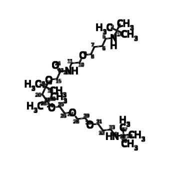 CC(C)(C)NCCCCOCCNC(=O)COC(C)(C)CC(C)(C)OCCOCCOCCCNC(C)(C)C